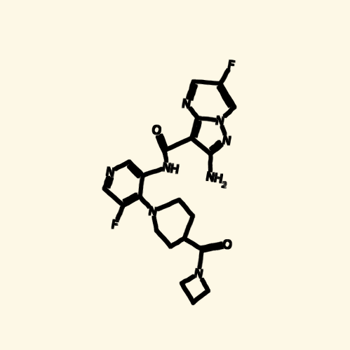 Nc1nn2cc(F)cnc2c1C(=O)Nc1cncc(F)c1N1CCC(C(=O)N2CCC2)CC1